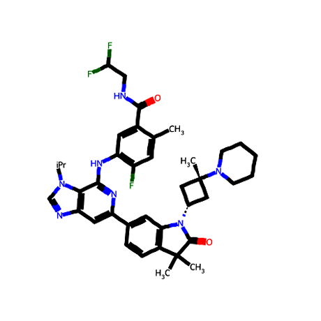 Cc1cc(F)c(Nc2nc(-c3ccc4c(c3)N([C@H]3C[C@@](C)(N5CCCCC5)C3)C(=O)C4(C)C)cc3ncn(C(C)C)c23)cc1C(=O)NCC(F)F